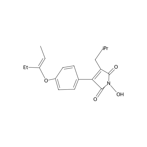 CC=C(CC)Oc1ccc(C2=C(CC(C)C)C(=O)N(O)C2=O)cc1